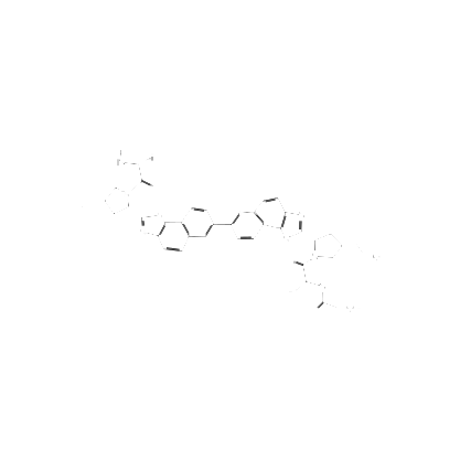 COC[C@H]1C[C@@H](c2nc3ccc4cc(-c5ccc6c(ccc7nc([C@@H]8C[C@H](C)CN8C(=O)[C@@H](NC(=O)O)C(C)C)[nH]c76)c5)ccc4c3[nH]2)N(C(=O)[C@@H](NC(=O)OC)C(C)C)C1